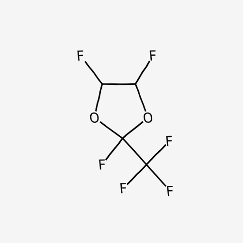 FC1OC(F)(C(F)(F)F)OC1F